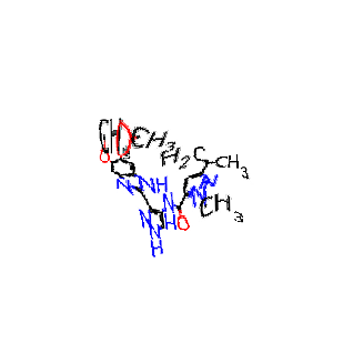 C=C(C)c1cc(C(=O)Nc2c[nH]nc2-c2nc3cc(OC)c(OC)cc3[nH]2)n(C)n1